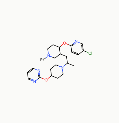 CCN1CCC(Oc2ccc(Cl)cn2)C(CC(C)N2CCC(Oc3ncccn3)CC2)C1